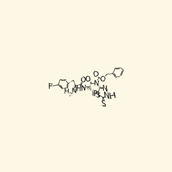 CC(C)[C@H](NC(=O)[C@@H](N)Cc1ccc(F)cc1)C(=O)N(C(=O)OCc1ccccc1)c1n[nH]c(=S)s1